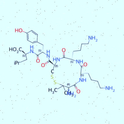 CC(C)C[C@H](NC(=O)[C@H](Cc1ccc(O)cc1)NC(=O)[C@@H]1CSSC(C)(C)[C@H](N)C(=O)N[C@@H](CCCCN)C(=O)N[C@@H](CCCCN)C(=O)N1)C(=O)O